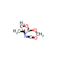 CCN=C=O.CO[SiH2]OC